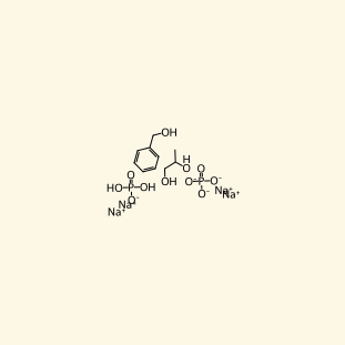 CC(O)CO.O=P([O-])(O)O.O=P([O-])([O-])[O-].OCc1ccccc1.[Na+].[Na+].[Na+].[Na+]